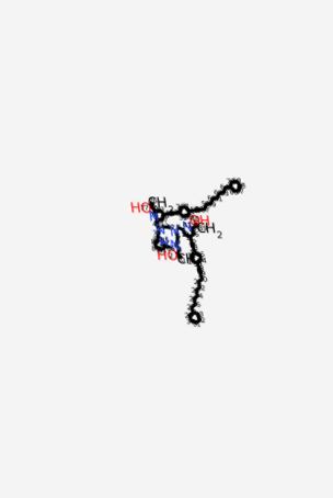 C=C(O)CN1CCN(Cc2cc(C#Cc3ccc(C#CCCCCCCCCc4ccccc4)cc3)cc(C(=C)O)n2)CCN(Cc2cc(C#Cc3ccc(C#CCCCCCCCCc4ccccc4)cc3)cc(C(=C)O)n2)Cc2cccc(n2)C1